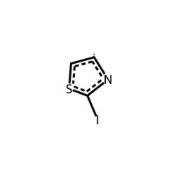 Ic1n[c]cs1